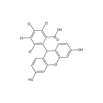 O=C(O)c1c(Cl)c(Cl)c(Cl)c(Cl)c1C1c2ccc(O)cc2Oc2cc(O)ccc21